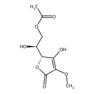 COC1=C(O)[C@@H]([C@@H](O)COC(C)=O)OC1=O